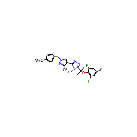 COc1ccc(Cn2cc(-c3nnc(C(C)(C)Oc4c(F)cc(F)cc4F)n3C)c(C(F)(F)F)n2)cc1